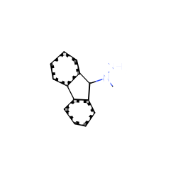 CN(N)C1c2ccccc2-c2ccccc21